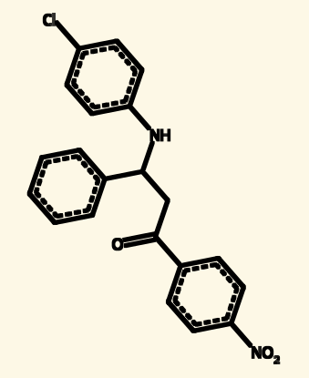 O=C(CC(Nc1ccc(Cl)cc1)c1ccccc1)c1ccc([N+](=O)[O-])cc1